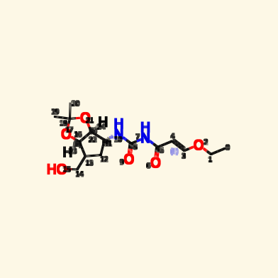 CCO/C=C/C(=O)NC(=O)N[C@@H]1CC(CO)[C@H]2OC(C)(C)O[C@H]21